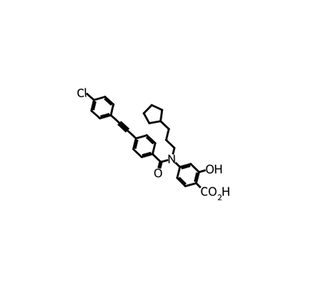 O=C(O)c1ccc(N(CCCC2CCCC2)C(=O)c2ccc(C#Cc3ccc(Cl)cc3)cc2)cc1O